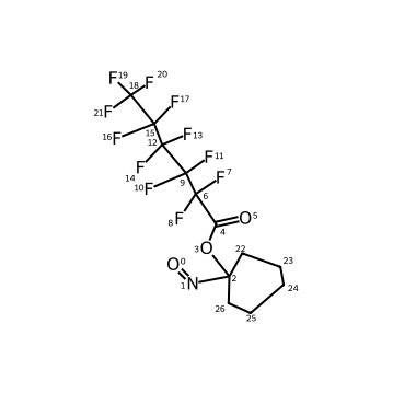 O=NC1(OC(=O)C(F)(F)C(F)(F)C(F)(F)C(F)(F)C(F)(F)F)CCCCC1